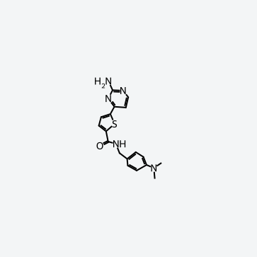 CN(C)c1ccc(CNC(=O)c2ccc(-c3ccnc(N)n3)s2)cc1